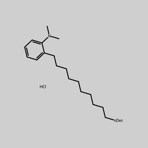 CCCCCCCCCCCCCCCCCCCCc1ccccc1N(C)C.Cl